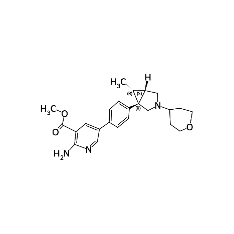 COC(=O)c1cc(-c2ccc([C@]34CN(C5CCOCC5)C[C@H]3[C@H]4C)cc2)cnc1N